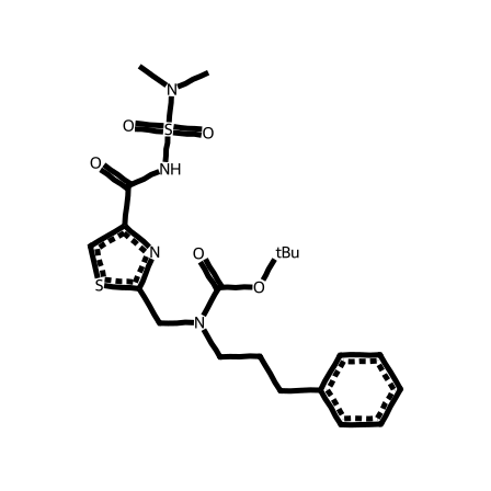 CN(C)S(=O)(=O)NC(=O)c1csc(CN(CCCc2ccccc2)C(=O)OC(C)(C)C)n1